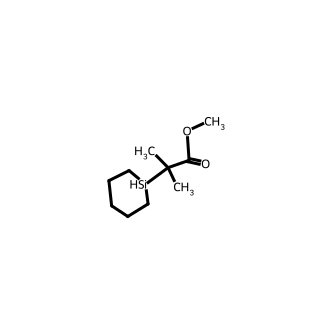 COC(=O)C(C)(C)[SiH]1CCCCC1